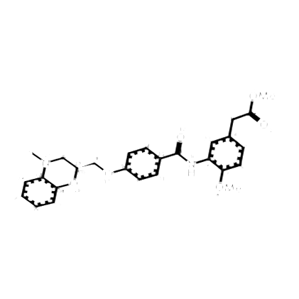 COC(=O)Cc1ccc(OC)c(NC(=O)c2ccc(OC[C@@H]3CN(C)c4ccccc4O3)cc2)c1